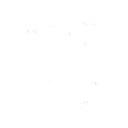 COc1cc(C(C)C)c(Cc2cnc(NC(C)=O)nc2CC(N)=O)cc1C